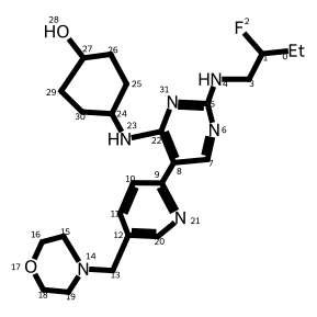 CCC(F)CNc1ncc(-c2ccc(CN3CCOCC3)cn2)c(NC2CCC(O)CC2)n1